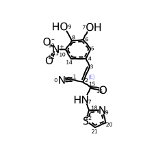 N#C/C(=C\c1cc(O)c(O)c([N+](=O)[O-])c1)C(=O)Nc1nccs1